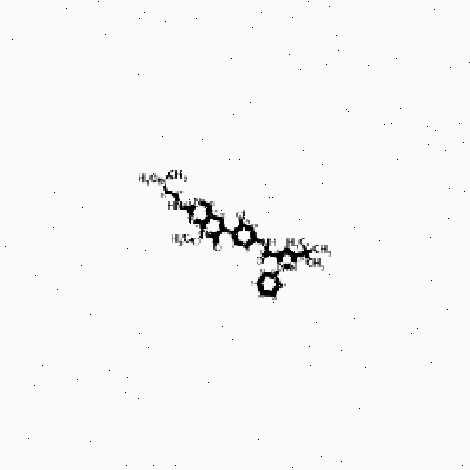 COn1c(=O)c(-c2ccc(NC(=O)c3cc(C(C)(C)C)nn3-c3ccccc3)cc2Cl)cc2cnc(NCCN(C)C)nc21